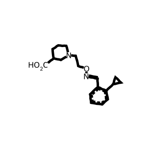 O=C(O)C1CCCN(CCON=Cc2ccccc2C2CC2)C1